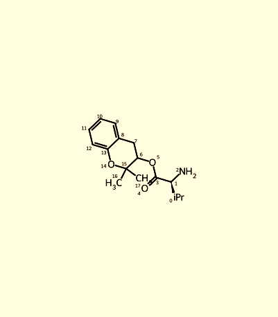 CC(C)[C@H](N)C(=O)OC1Cc2ccccc2OC1(C)C